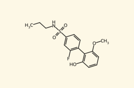 CCCNS(=O)(=O)c1ccc(-c2c(O)cccc2OC)c(F)c1